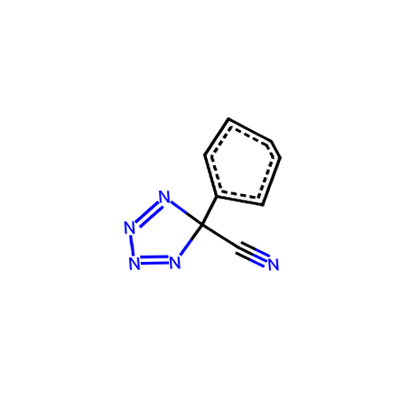 N#CC1(c2ccccc2)N=NN=N1